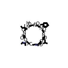 C/C=C(\C)[C@H]1OC(=O)[C@@H](C)NC(=O)[C@H]([C@H](C)CC)NC(=O)CN(C)C(=O)[C@@H](Cc2ccccc2)N(C)C(=O)[C@H](C)NC(=O)[C@@H](CC(C)C)OC(=O)/C(C)=C/CC[C@@H]1C